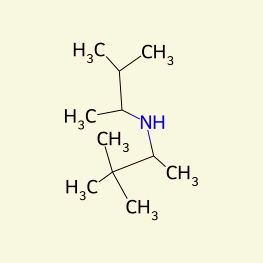 CC(C)C(C)NC(C)C(C)(C)C